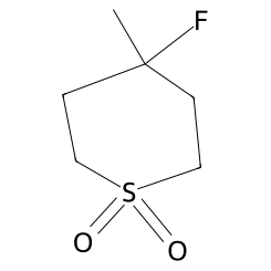 CC1(F)CCS(=O)(=O)CC1